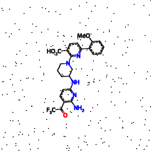 COc1ccccc1-c1ccc(C(=O)O)c(N2CCCC(Nc3ccc(C(=O)C(F)(F)F)c(N)n3)C2)n1